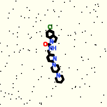 O=C(NCc1ccc(N2CCC(N3CCCCC3)CC2)nc1)N1CCc2cc(Cl)ccc21